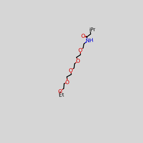 CCOCCOCCOCCOCCOCCNC(=O)CC(C)C